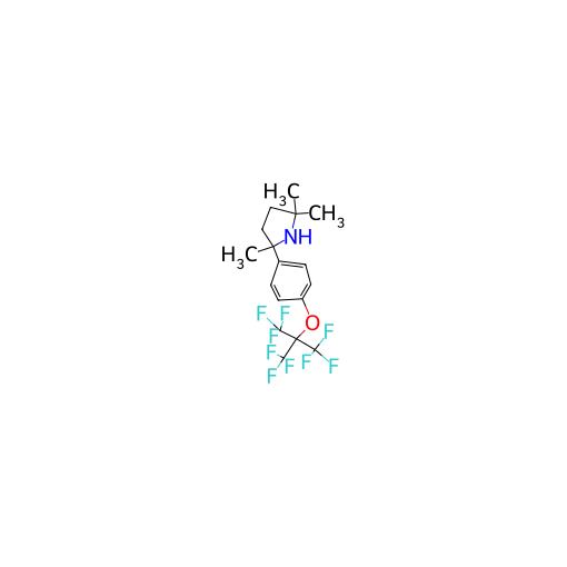 CC1(C)CCC(C)(c2ccc(OC(C(F)(F)F)(C(F)(F)F)C(F)(F)F)cc2)N1